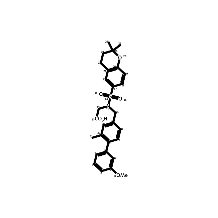 COc1cccc(-c2ccc(CN(CC(=O)O)S(=O)(=O)c3ccc4c(c3)CCC(C)(C)O4)cc2C)c1